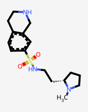 CN1CCC[C@H]1CCNS(=O)(=O)c1ccc2c(c1)CNCC2